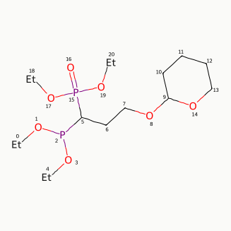 CCOP(OCC)C(CCOC1CCCCO1)P(=O)(OCC)OCC